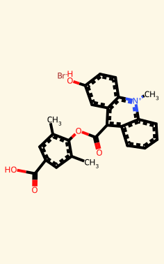 Cc1cc(C(=O)O)cc(C)c1OC(=O)c1c2ccccc2[n+](C)c2ccc(O)cc12.[Br-]